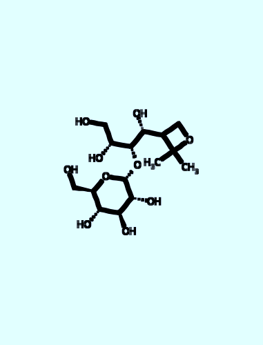 CC1(C)OCC1[C@@H](O)[C@H](O[C@H]1O[C@H](CO)[C@@H](O)[C@H](O)[C@H]1O)[C@H](O)CO